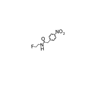 O=C(Cc1ccc([N+](=O)[O-])cc1)NCCF